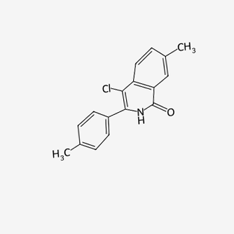 Cc1ccc(-c2[nH]c(=O)c3cc(C)ccc3c2Cl)cc1